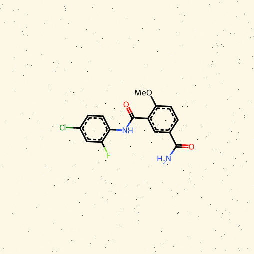 COc1ccc(C(N)=O)cc1C(=O)Nc1ccc(Cl)cc1F